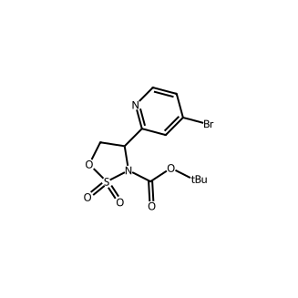 CC(C)(C)OC(=O)N1C(c2cc(Br)ccn2)COS1(=O)=O